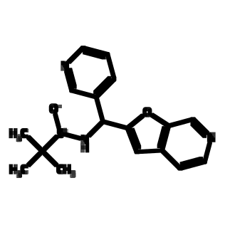 CC(C)(C)[S+]([O-])NC(c1cccnc1)c1cc2ccncc2o1